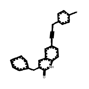 O=c1[nH]c2ccc(C#CCc3ccc(I)cc3)cc2cc1Cc1ccccc1